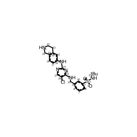 CC(C)(C)NS(=O)(=O)c1cccc(CNc2nc(Nc3ccc4c(c3)CCNC4)ncc2Cl)c1